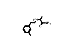 Cc1cccc(CCNC(C)C(N)=O)c1